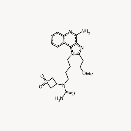 COCCc1nc2c(N)nc3ccccc3c2n1CCCCN(C(N)=O)C1CS(=O)(=O)C1